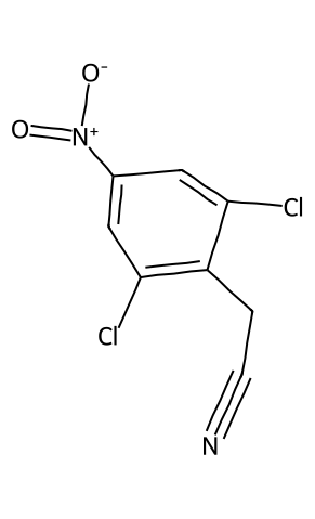 N#CCc1c(Cl)cc([N+](=O)[O-])cc1Cl